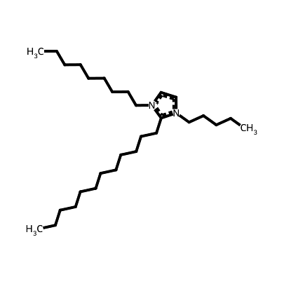 CCCCCCCCCCCCc1n(CCCCC)cc[n+]1CCCCCCCCC